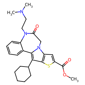 COC(=O)c1cc2c(s1)c(C1CCCCC1)c1n2CC(=O)N(CCN(C)C)c2ccccc2-1